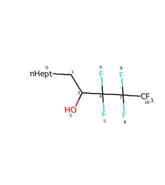 CCCCCCCCC(O)C(F)(F)C(F)(F)C(F)(F)F